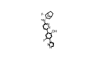 CN1C2CCC1[C@@H](F)[C@@H](N(C)c1ccc(-c3cc(F)c(-n4ccnn4)cc3O)nn1)C2